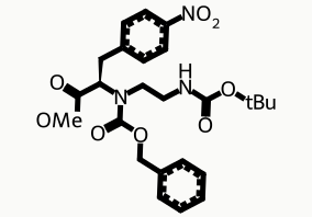 COC(=O)[C@@H](Cc1ccc([N+](=O)[O-])cc1)N(CCNC(=O)OC(C)(C)C)C(=O)OCc1ccccc1